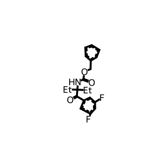 CCC(CC)(NC(=O)OCc1ccccc1)C(=O)c1cc(F)cc(F)c1